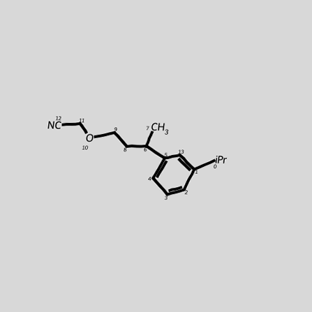 CC(C)c1cccc(C(C)CCOCC#N)c1